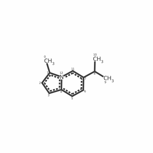 Cc1ccc2ccc(C(C)C)cn12